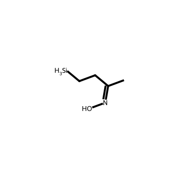 CC(CC[SiH3])=NO